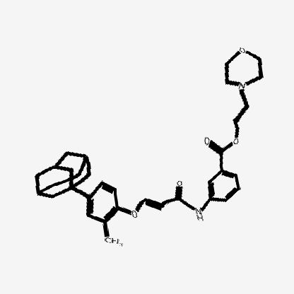 Cc1cc(C23CC4CC(CC(C4)C2)C3)ccc1O/C=C/C(=O)Nc1cccc(C(=O)OCCN2CCOCC2)c1